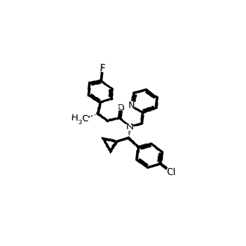 C[C@@H](CC(=O)N(Cc1ccccn1)[C@H](c1ccc(Cl)cc1)C1CC1)c1ccc(F)cc1